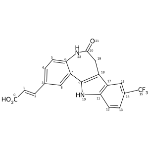 O=C(O)C=Cc1ccc2c(c1)-c1[nH]c3ccc(C(F)(F)F)cc3c1CC(=O)N2